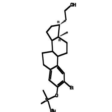 CCc1cc2c(cc1O[Si](C)(C)C(C)(C)C)CCC1C2CC[C@@]2(C)C1CC[C@@H]2CCO